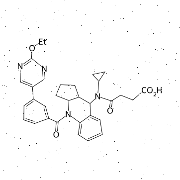 CCOc1ncc(-c2cccc(C(=O)N3c4ccccc4C(N(C(=O)CCC(=O)O)C4CC4)C4CCCC43)c2)cn1